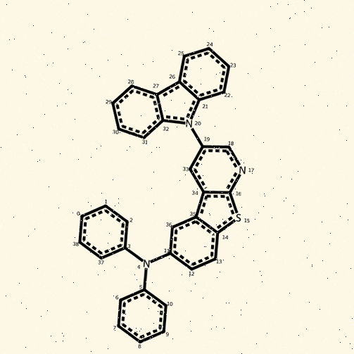 c1ccc(N(c2ccccc2)c2ccc3sc4ncc(-n5c6ccccc6c6ccccc65)cc4c3c2)cc1